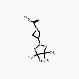 CC(C)(C)OC(=O)N1CC(B2OC(C)(C)C(C)(C)O2)C1